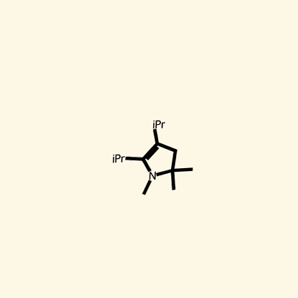 CC(C)C1=C(C(C)C)N(C)C(C)(C)C1